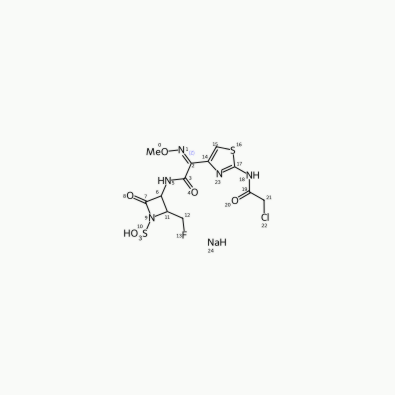 CO/N=C(\C(=O)NC1C(=O)N(S(=O)(=O)O)C1CF)c1csc(NC(=O)CCl)n1.[NaH]